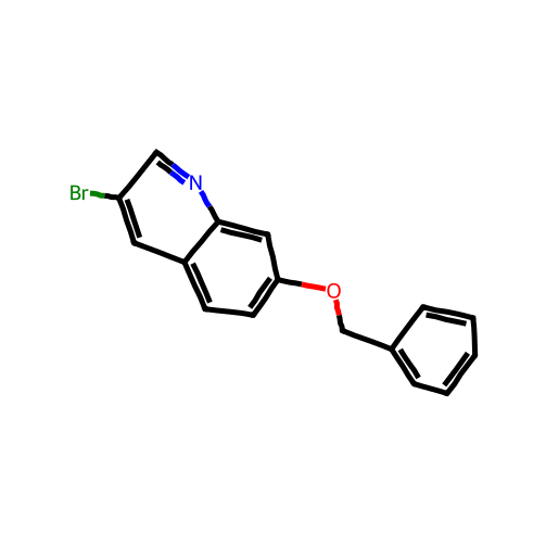 Brc1cnc2cc(OCc3ccccc3)ccc2c1